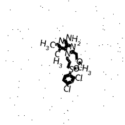 COCCc1nc2c(N)nc(C)c(C)c2n1CCC[S+]([O-])c1ccc(Cl)cc1Cl